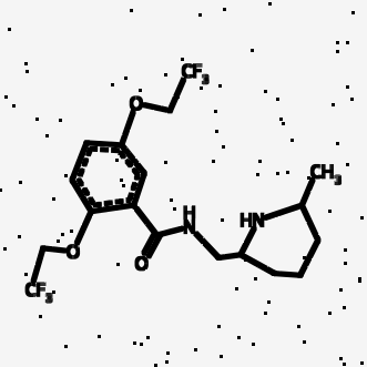 CC1CCCC(CNC(=O)c2cc(OCC(F)(F)F)ccc2OCC(F)(F)F)N1